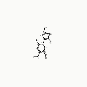 CCc1cc(F)c(-c2sc(C)nc2C)cc1F